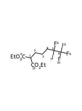 CCOC(=O)C(CCCC(F)(I)C(F)(F)I)C(=O)OCC